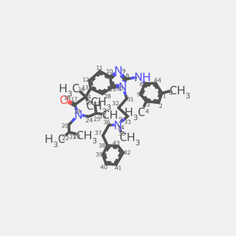 Cc1cc(C)cc(Nc2nc3ccc(C(C)(C)C(=O)N(CC(C)C)CC(C)C)cc3n2CCCN(C)CCc2ccccc2)c1